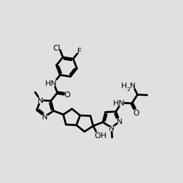 CC(N)C(=O)Nc1cc(C2(O)CC3CC(c4ncn(C)c4C(=O)Nc4ccc(F)c(Cl)c4)CC3C2)n(C)n1